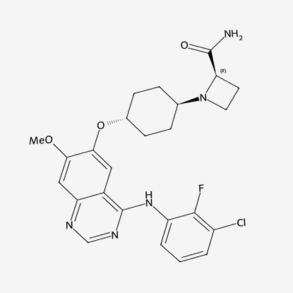 COc1cc2ncnc(Nc3cccc(Cl)c3F)c2cc1O[C@H]1CC[C@H](N2CC[C@@H]2C(N)=O)CC1